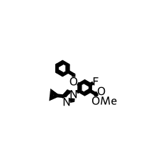 COC(=O)c1cc(-n2cnc(C3CC3)c2)c(OCc2ccccc2)cc1F